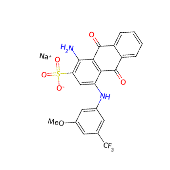 COc1cc(Nc2cc(S(=O)(=O)[O-])c(N)c3c2C(=O)c2ccccc2C3=O)cc(C(F)(F)F)c1.[Na+]